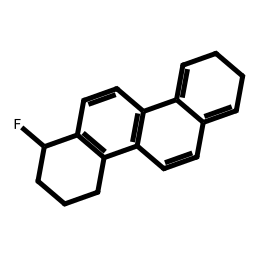 FC1CCCc2c1ccc1c3c(ccc21)=CCCC=3